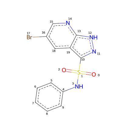 O=S(=O)(Nc1ccccc1)c1n[nH]c2ncc(Br)cc12